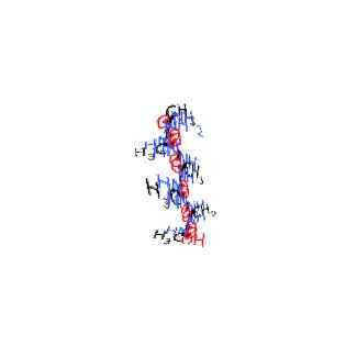 C[C@H](N)C(=O)NCC(=O)N[C@@H](C)C(=O)NCC(=O)N[C@@H](C)C(=O)NCC(=O)N[C@@H](C)C(=O)NCC(=O)N[C@@H](C)C(=O)NCC(=O)N[C@@H](C)C(=O)O